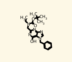 CCN(Cc1nc(O)c2c(ncn2Cc2ccccc2)n1)C(=O)OC(C)(C)C